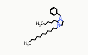 CCCCCCCCCCC[n+]1ccn(Cc2ccccc2)c1CCCCC